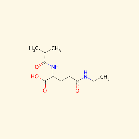 CCNC(=O)CCC(NC(=O)C(C)C)C(=O)O